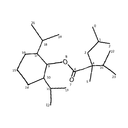 CC(C)CC(C)(C(=O)OC1C(C(C)C)CCCC1C(C)C)C(C)C